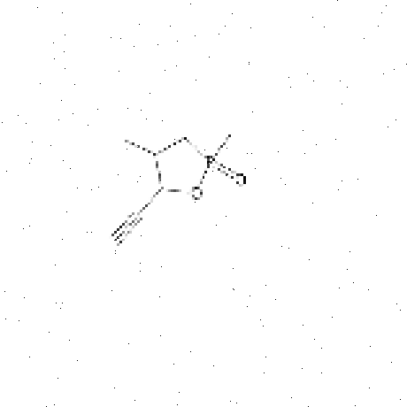 C#CC1OP(C)(=O)CC1C